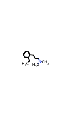 C=Cc1ccccc1CCCN(C)C